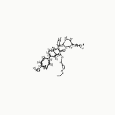 CCCOCCn1c(=O)c(NC2CCC(NC)CC2)nc2cnc(-c3ccc(OC)nc3)cc21